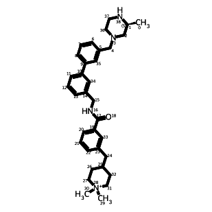 C[C@H]1CN(Cc2cccc(-c3cccc(CNC(=O)c4cccc(CC5CC[N+](C)(C)CC5)c4)c3)c2)CCN1